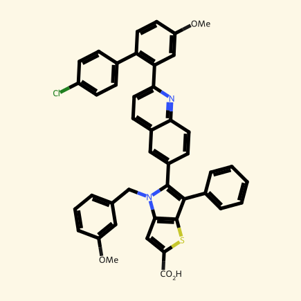 COc1cccc(Cn2c(-c3ccc4nc(-c5cc(OC)ccc5-c5ccc(Cl)cc5)ccc4c3)c(-c3ccccc3)c3sc(C(=O)O)cc32)c1